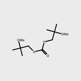 COC(C)(C)COC(=O)OCC(C)(C)OC